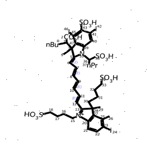 CCCCC(C(=O)O)C1(C)/C(=C/C=C/C=C/C=C/C2=[N+](CCCCS(=O)(=O)O)c3ccc(I)c(C)c3C2(C)CCCCS(=O)(=O)O)N(C(CCC)S(=O)(=O)O)c2cc(I)c(S(=O)(=O)O)c(I)c21